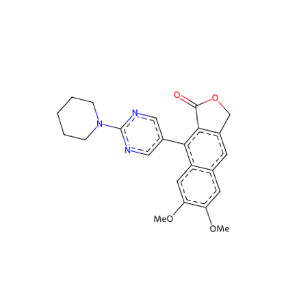 COc1cc2cc3c(c(-c4cnc(N5CCCCC5)nc4)c2cc1OC)C(=O)OC3